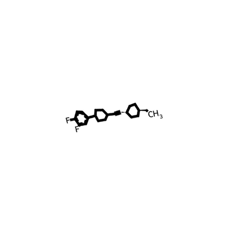 CC[C@H]1CC[C@H](C#CC2CCC(c3ccc(F)c(F)c3)CC2)CC1